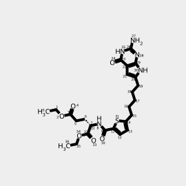 CCOC(=O)CC[C@H](NC(=O)c1ccc(CCCCCc2cc3c(=O)[nH]c(N)nc3[nH]2)s1)C(=O)OCC